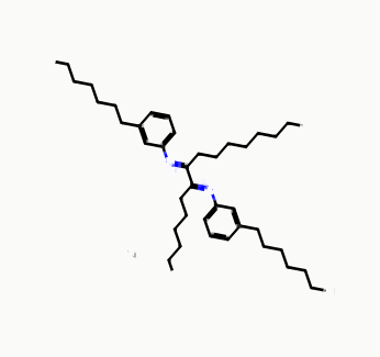 CCCCCCCCC(=N\c1cccc(CCCCCCC)c1)/C(CCCCCC)=N/c1cccc(CCCCCCC)c1.[Ni]